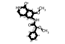 COc1cc2c(=O)[nH]ccc2cc1NC(=O)[C@@H](OC)c1ccccc1